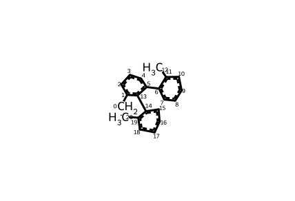 [CH2]c1cccc(-c2ccccc2C)c1-c1ccccc1C